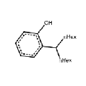 CCCCCCC(CCCCCC)c1ccccc1O